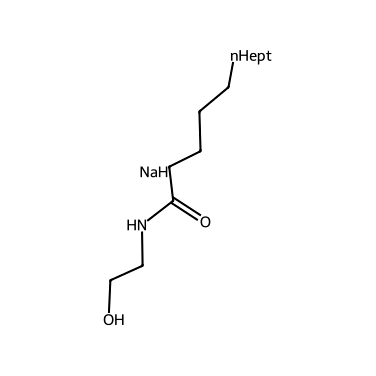 CCCCCCCCCCCC(=O)NCCO.[NaH]